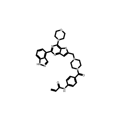 C=CC(=O)Nc1ccc(C(=O)N2CCN(Cc3cc4nc(-c5cccc6[nH]ncc56)nc(N5CCOCC5)c4s3)CC2)cc1